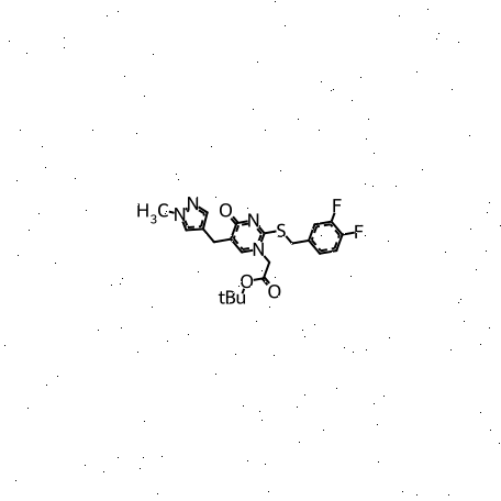 Cn1cc(Cc2cn(CC(=O)OC(C)(C)C)c(SCc3ccc(F)c(F)c3)nc2=O)cn1